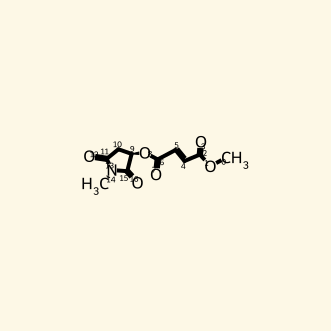 COC(=O)/C=C/C(=O)O[C@@H]1CC(=O)N(C)C1=O